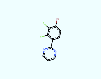 Fc1c(Br)ccc(-c2ncccn2)c1F